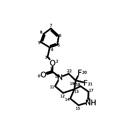 O=C(OCc1ccccc1)N1CCC2(CCNCC2)C(F)(F)C1